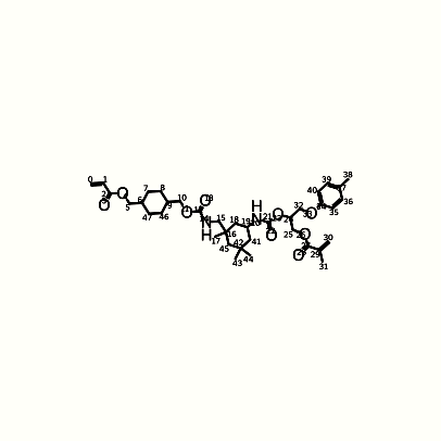 C=CC(=O)OCC1CCC(COC(=O)NCC2(C)CC(NC(=O)OC(COC(=O)C(=C)C)COc3ccc(C)cc3)CC(C)(C)C2)CC1